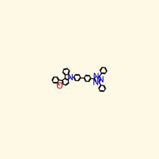 c1ccc(-c2nc(-c3ccccc3)nc(-c3ccc(-c4ccc(-n5c6ccccc6c6c7c(ccc65)oc5ccccc57)cc4)cc3)n2)cc1